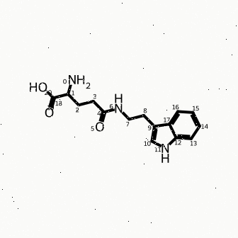 NC(CCC(=O)NCCc1c[nH]c2ccccc12)C(=O)O